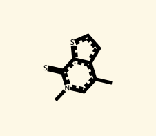 Cc1cn(C)c(=S)c2sccc12